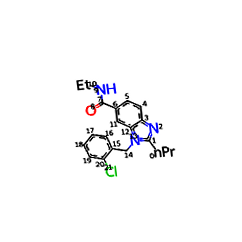 CCCc1nc2ccc(C(=O)NCC)cc2n1Cc1ccccc1Cl